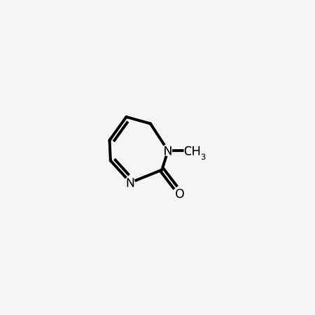 CN1CC=CC=NC1=O